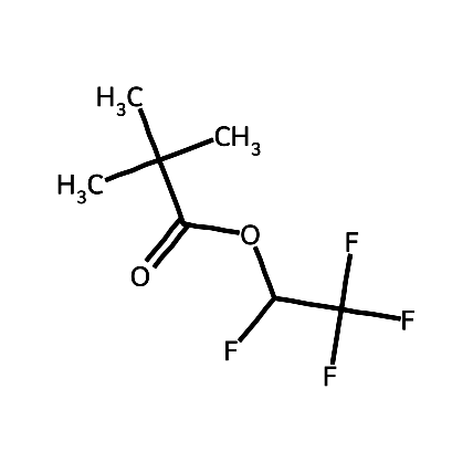 CC(C)(C)C(=O)OC(F)C(F)(F)F